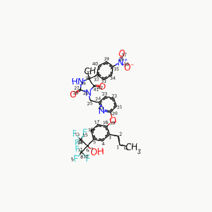 CCCc1cc(C(O)(C(F)(F)F)C(F)(F)F)ccc1Oc1cccc(CN2C(=O)NC(C)(c3ccc([N+](=O)[O-])cc3)C2=O)n1